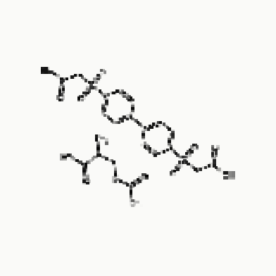 CC(=O)SCC(C)C(=O)O.O=C(O)CS(=O)(=O)c1ccc(-c2ccc(S(=O)(=O)CC(=O)O)cc2)cc1